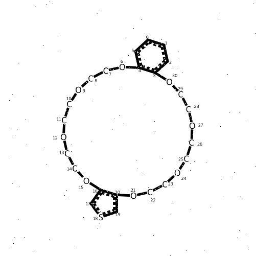 c1ccc2c(c1)OCCOCCOCCOc1cscc1OCCOCCOCCO2